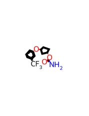 NC(=O)O[C@H]1CC[C@H](Oc2cccc(C(F)(F)F)c2)C1